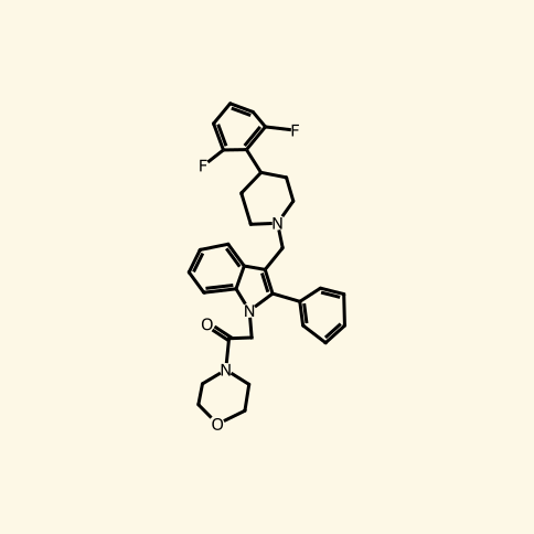 O=C(Cn1c(-c2ccccc2)c(CN2CCC(c3c(F)cccc3F)CC2)c2ccccc21)N1CCOCC1